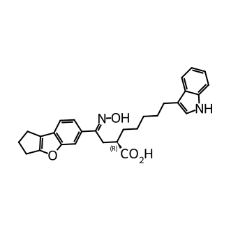 O=C(O)[C@H](CCCCCc1c[nH]c2ccccc12)CC(=NO)c1ccc2c3c(oc2c1)CCC3